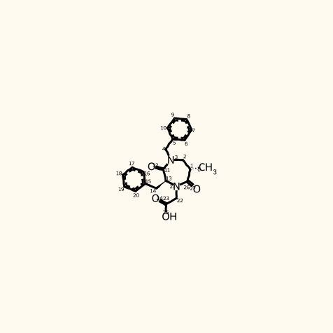 C[C@H]1CN(Cc2ccccc2)C(=O)[C@H](Cc2ccccc2)N(CC(=O)O)C1=O